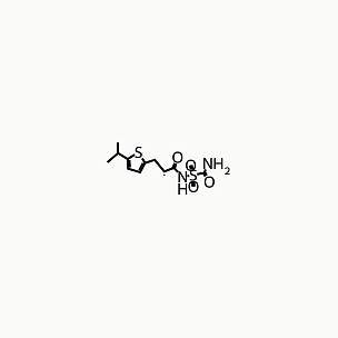 CC(C)c1ccc(C[CH]C(=O)NS(=O)(=O)C(N)=O)s1